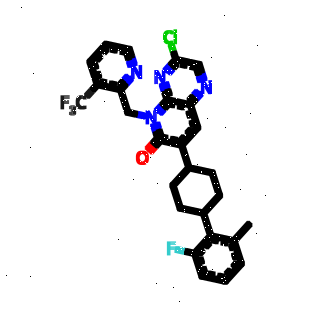 Cc1cccc(F)c1C1CCC(c2cc3ncc(Cl)nc3n(Cc3ncccc3C(F)(F)F)c2=O)CC1